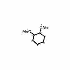 COC1[CH]CCCC1OC